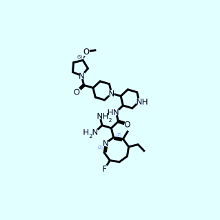 CCC1CCC(F)/C=N\C(C(C(=O)NC2CNCCC2N2CCC(C(=O)N3CC[C@H](OC)C3)CC2)C(N)N)=C/1C